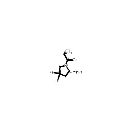 C=CC(=O)N1CC(F)(F)C[C@H]1CCC